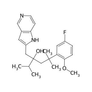 COc1ccc(F)cc1C(C)(C)CC(O)(Cc1cc2cnccc2[nH]1)C(C)C